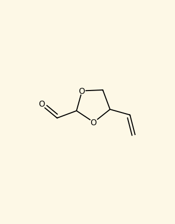 C=CC1COC(C=O)O1